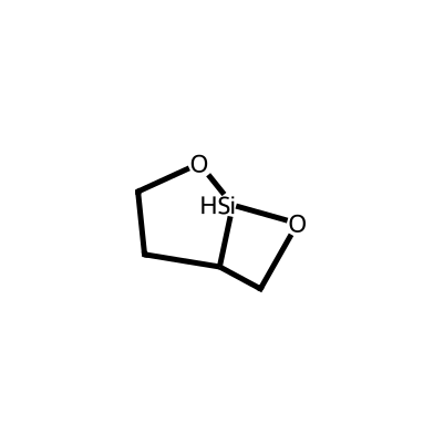 C1CC2CO[SiH]2O1